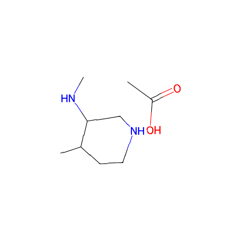 CC(=O)O.CNC1CNCCC1C